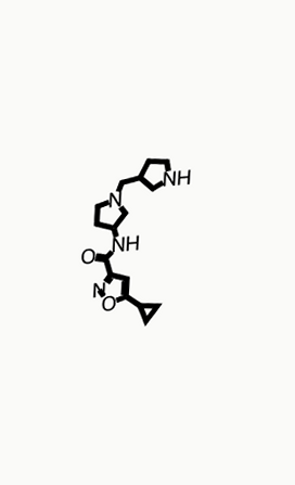 O=C(NC1CCN(CC2CCNC2)C1)c1cc(C2CC2)on1